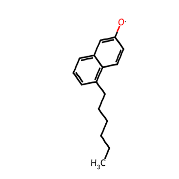 CCCCCCc1cccc2cc([O])ccc12